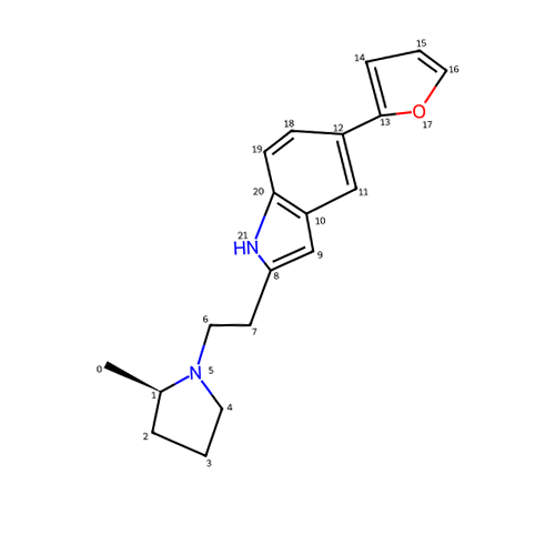 C[C@@H]1CCCN1CCc1cc2cc(-c3ccco3)ccc2[nH]1